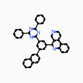 c1ccc(-c2nc(-c3ccccc3)nc(-c3cc(-c4ccc5ccccc5c4)cc(-c4nc5ccccc5c5ccncc45)c3)n2)cc1